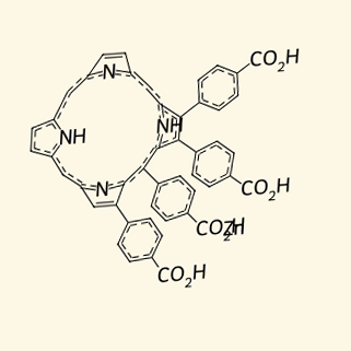 O=C(O)c1ccc(C2=Cc3cc4ccc(cc5nc(cc6[nH]c(c(-c7ccc(C(=O)O)cc7)c2n3)c(-c2ccc(C(=O)O)cc2)c6-c2ccc(C(=O)O)cc2)C=C5)[nH]4)cc1.[Zn]